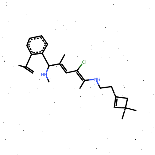 C=C(C)c1ccccc1C(NC)/C(C)=C/C(Cl)=C(\C)NCCC1=CC(C)(C)C1